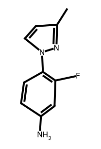 Cc1ccn(-c2ccc(N)cc2F)n1